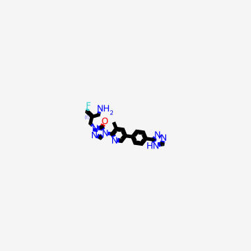 Cc1cc(-c2ccc(-c3nnc[nH]3)cc2)cnc1-n1cnn(C/C(=C/F)CN)c1=O